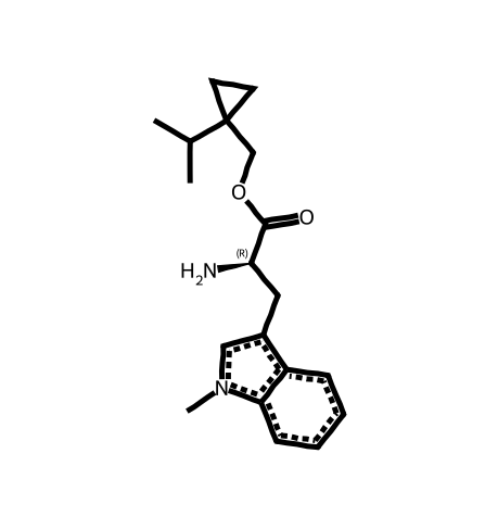 CC(C)C1(COC(=O)[C@H](N)Cc2cn(C)c3ccccc23)CC1